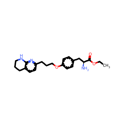 CCOC(=O)[C@@H](N)Cc1ccc(OCCCc2ccc3c(n2)NCCC3)cc1